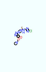 COc1cc2c(N3CCN(C(=S)NCc4cnc(Cl)cn4)CC3)ncnc2cc1OCCN1CCCCC1